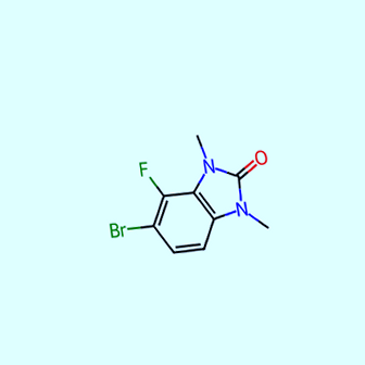 Cn1c(=O)n(C)c2c(F)c(Br)ccc21